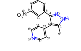 Cc1[nH]nc(-c2cccc([N+](=O)[O-])c2)c1-c1ccncc1